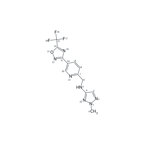 Cn1ncc(NCc2ccc(-c3noc(C(F)(F)F)n3)cn2)n1